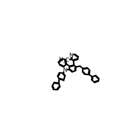 Cc1ncccc1-c1c(Cc2ccc(-c3ccccc3)cc2)ccc2c1c1ccccc1n2-c1ccc(-c2ccccc2)cc1